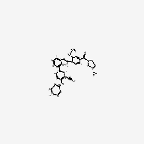 COc1cc(C(=O)N2CC[C@H](O)C2)ccc1-c1cc2nccc(-c3ccc(NC4CCOCC4)c(C#N)c3)c2o1